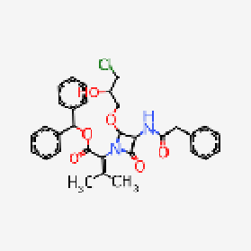 CC(C)=C(C(=O)OC(c1ccccc1)c1ccccc1)N1C(=O)C(NC(=O)Cc2ccccc2)C1OCC(O)CCl